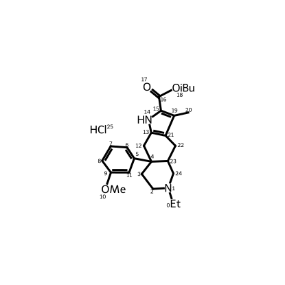 CCN1CCC2(c3cccc(OC)c3)Cc3[nH]c(C(=O)OCC(C)C)c(C)c3CC2C1.Cl